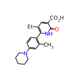 CCc1cc(C(=O)O)c(=O)[nH]c1-c1ccc(N2CCCCC2)cc1C